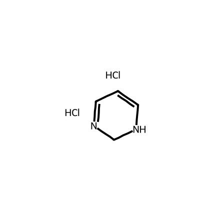 C1=CNCN=C1.Cl.Cl